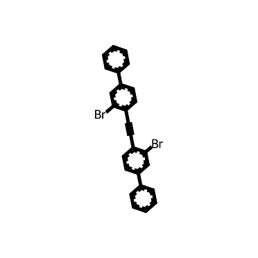 Brc1cc(-c2ccccc2)ccc1C#Cc1ccc(-c2ccccc2)cc1Br